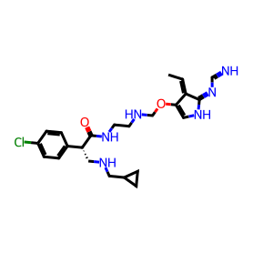 C/C=C1\C(OCNCCNC(=O)[C@H](CNCC2CC2)c2ccc(Cl)cc2)=CN\C1=N\C=N